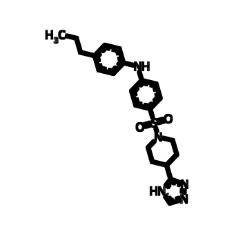 CCCc1ccc(Nc2ccc(S(=O)(=O)N3CCC(c4nnc[nH]4)CC3)cc2)cc1